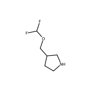 FC(F)OCC1CCNC1